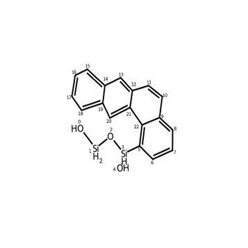 O[SiH2]O[SiH](O)c1cccc2ccc3cc4ccccc4cc3c12